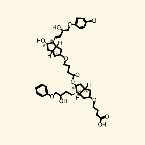 O=C(O)CCCOC1C[C@H]2C[C@H](OC(=O)CCCOC3C[C@@H]4C[C@H](O)[C@@H](C=CC(O)COc5ccc(Cl)cc5)[C@@H]4C3)[C@@H](CCC(O)COc3ccccc3)[C@@H]2C1